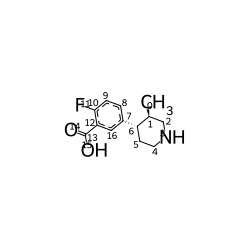 C[C@H]1CNCC[C@@H]1c1ccc(F)c(C(=O)O)c1